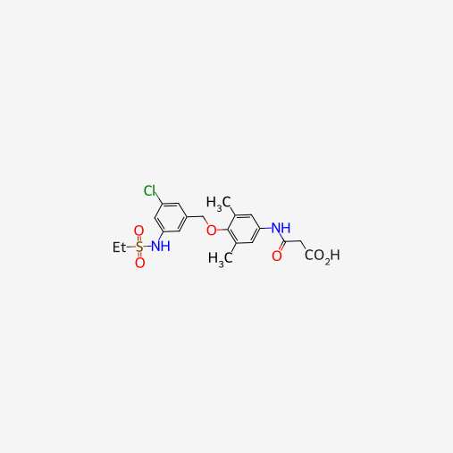 CCS(=O)(=O)Nc1cc(Cl)cc(COc2c(C)cc(NC(=O)CC(=O)O)cc2C)c1